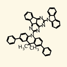 CC1(C)c2cc(-c3ccccc3)ccc2N(c2nc3c4c(nc(-n5c6ccccc6c6ccccc65)nc4n2)-c2ccccc2-3)c2ccc(-c3ccccc3)cc21